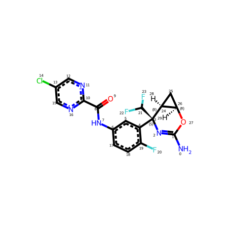 NC1=N[C@@](c2cc(NC(=O)c3ncc(Cl)cn3)ccc2F)(C(F)F)[C@H]2C[C@H]2O1